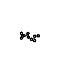 c1ccc(-c2cccc(-n3c4ccccc4c4ccc(-c5ccc6c(c5)c5ccccc5n6-c5cc6c7ccccc7n7c8ccccc8c(c5)c67)cc43)c2)cc1